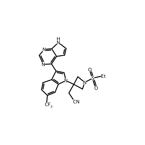 CCS(=O)(=O)N1CC(CC#N)(n2cc(-c3ncnc4[nH]ccc34)c3ccc(C(F)(F)F)cc32)C1